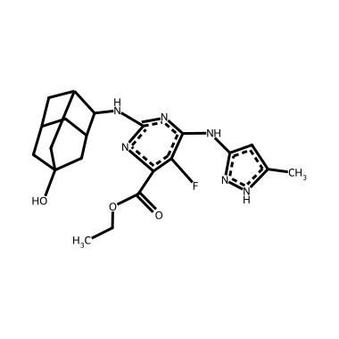 CCOC(=O)c1nc(NC2C3CC4CC2CC(O)(C4)C3)nc(Nc2cc(C)[nH]n2)c1F